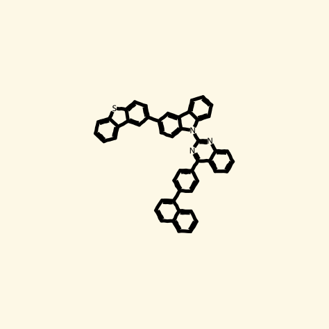 c1ccc2c(-c3ccc(-c4nc(-n5c6ccccc6c6cc(-c7ccc8sc9ccccc9c8c7)ccc65)nc5ccccc45)cc3)cccc2c1